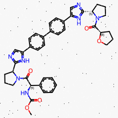 COC(=O)N[C@@H](C(=O)N1CCCC1c1ncc(-c2ccc(-c3ccc(-c4cnc([C@@H]5CCCN5C(=O)[C@H]5CCCO5)[nH]4)cc3)cc2)[nH]1)c1ccccc1